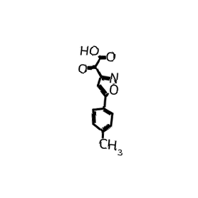 Cc1ccc(-c2cc(C(=O)C(=O)O)no2)cc1